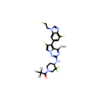 [2H]C([2H])([2H])C(=O)N1CC[C@@H](Nc2nc(OC)c3c(-c4cc(F)c5ncn(CCF)c5c4)c(F)cn3n2)C(F)(F)C1